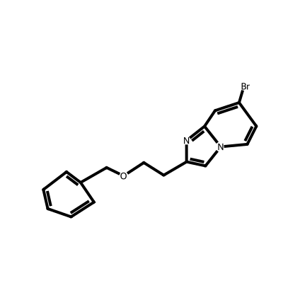 Brc1ccn2cc(CCOCc3ccccc3)nc2c1